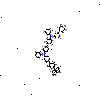 c1ccc(N(c2ccc(-c3ccc(N(c4ccccc4)c4ccc5sc6ccccc6c5c4)cc3)cc2)c2ccc(-c3ccc(C45CC6CC4CC6C5)cc3)cc2)cc1